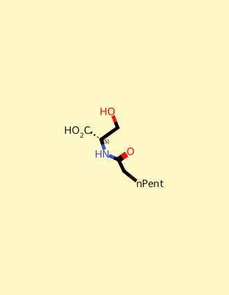 CCCCCCC(=O)N[C@@H](CO)C(=O)O